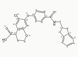 O=C(NCC1Cc2ccccc2C1)c1ccc(Oc2cc3c(cc2Cl)C(C(=O)O)CCO3)cc1